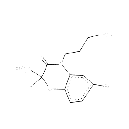 CCOC(=O)C1(C)Oc2ccc(Br)cc2N(CCCOC)C1=O